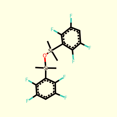 C[Si](C)(O[Si](C)(C)c1c(F)c(F)cc(F)c1F)c1c(F)c(F)cc(F)c1F